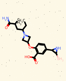 BC1NC1c1ccc(OC2CN(C(CC)CC(C)C(N)=O)C2)c(C(=O)O)c1